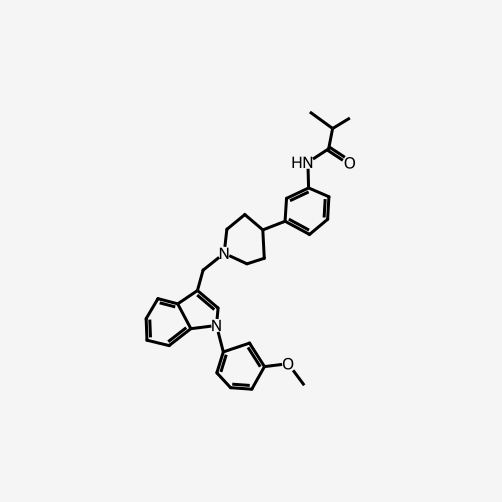 COc1cccc(-n2cc(CN3CCC(c4cccc(NC(=O)C(C)C)c4)CC3)c3ccccc32)c1